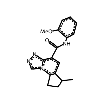 COc1ccccc1NC(=O)c1cc2c(n3cnnc13)CCC2C